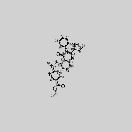 CCOC(=O)c1cnc(N(C)Cc2cccc3nc([C@@H](N)CC)n(-c4ccccc4)c(=O)c23)nc1